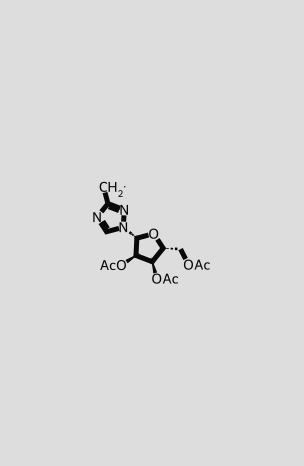 [CH2]c1ncn([C@@H]2O[C@H](COC(C)=O)[C@@H](OC(C)=O)[C@H]2OC(C)=O)n1